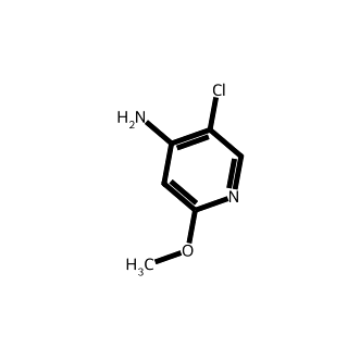 COc1cc(N)c(Cl)cn1